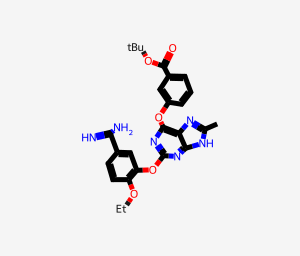 CCOc1ccc(C(=N)N)cc1Oc1nc(Oc2cccc(C(=O)OC(C)(C)C)c2)c2nc(C)[nH]c2n1